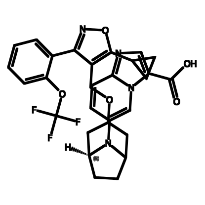 O=C(O)c1cnc2ccc(N3C4CC[C@H]3CC(OCc3c(-c5ccccc5OC(F)(F)F)noc3C3CC3)C4)cn12